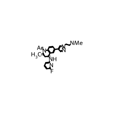 CNCCn1cc(-c2ccc3c(c2)[C@H](Nc2cccc(F)n2)C[C@H](C)N3C(C)=O)cn1